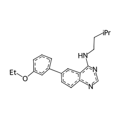 CCOc1cccc(-c2ccc3ncnc(NCCC(C)C)c3c2)c1